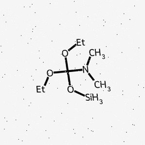 CCOC(O[SiH3])(OCC)N(C)C